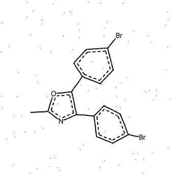 Cc1nc(-c2ccc(Br)cc2)c(-c2ccc(Br)cc2)o1